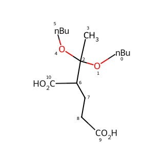 CCCCOC(C)(OCCCC)C(CCC(=O)O)C(=O)O